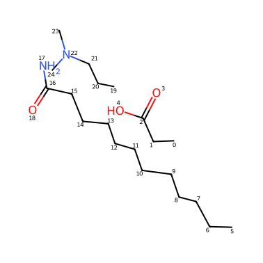 CCC(=O)O.CCCCCCCCCCCC(N)=O.CCCN(C)C